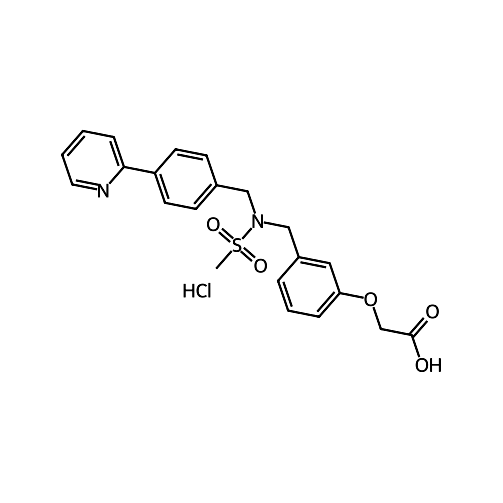 CS(=O)(=O)N(Cc1ccc(-c2ccccn2)cc1)Cc1cccc(OCC(=O)O)c1.Cl